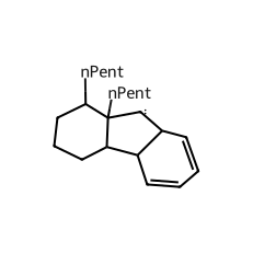 CCCCCC1CCCC2C3C=CC=CC3[C]C12CCCCC